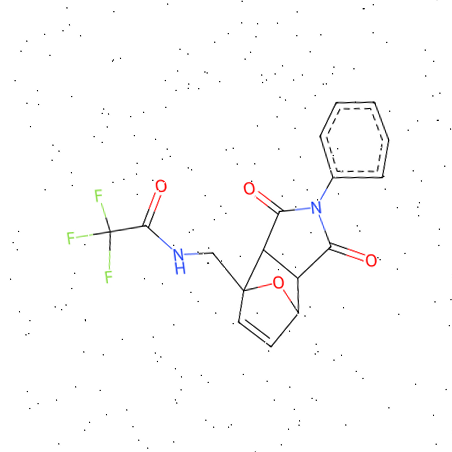 O=C1C2C3C=CC(CNC(=O)C(F)(F)F)(O3)C2C(=O)N1c1ccccc1